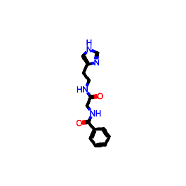 O=C(CNC(=O)c1ccccc1)NCCc1c[nH]cn1